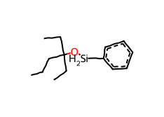 CCCC(CC)(CC)O[SiH2]c1ccccc1